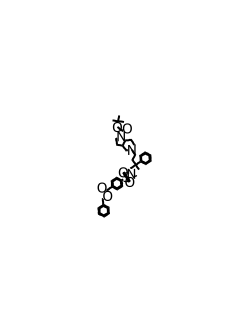 CN(CC(C)(CCN1CCC2C(CCN2C(=O)OC(C)(C)C)C1)c1ccccc1)S(=O)(=O)c1ccc(C(=O)OCc2ccccc2)cc1